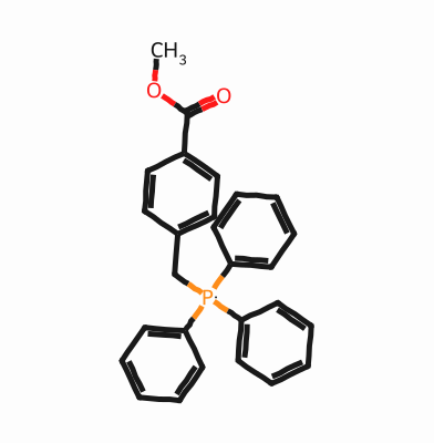 COC(=O)c1ccc(C[P](c2ccccc2)(c2ccccc2)c2ccccc2)cc1